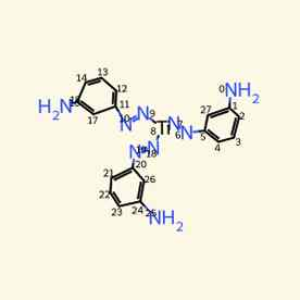 Nc1cccc(N=[N][Ti]([N]=Nc2cccc(N)c2)[N]=Nc2cccc(N)c2)c1